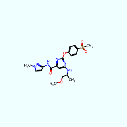 COCC(C)Nc1cc(C(=O)Nc2ccn(C)n2)nc(Oc2ccc(S(C)(=O)=O)cc2)n1